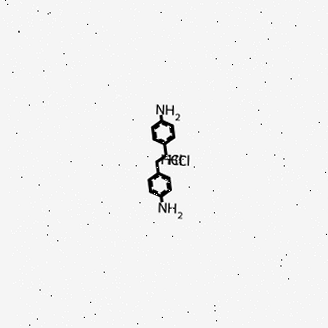 Cl.Cl.Nc1ccc(CCc2ccc(N)cc2)cc1